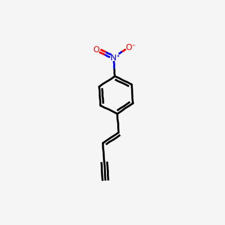 C#CC=Cc1ccc([N+](=O)[O-])cc1